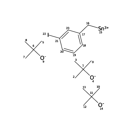 CC(C)(C)[O-].CC(C)(C)[O-].CC(C)(C)[O-].[Sn+3][CH2]c1cccc(I)c1